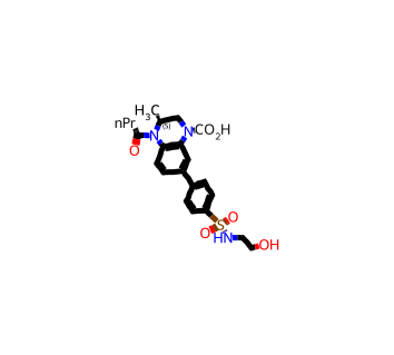 CCCC(=O)N1c2ccc(-c3ccc(S(=O)(=O)NCCO)cc3)cc2N(C(=O)O)C[C@@H]1C